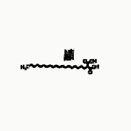 CCCCCCCCCCCCCCCCC[CH]CC(C(=O)O)C(=O)O.[NaH].[NaH].[NaH].[NaH]